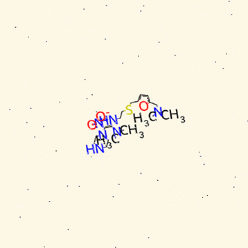 CN(C)Cc1ccc(CSCCNC(=C(N2CCNCC2)[N+](=O)[O-])N(C)C)o1